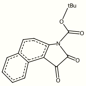 CC(C)(C)OC(=O)N1C(=O)C(=O)c2c1ccc1ccccc21